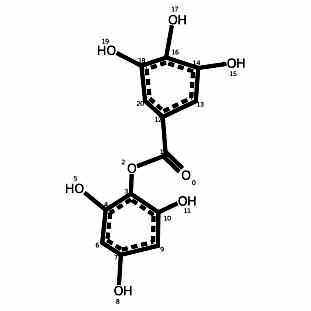 O=C(Oc1c(O)cc(O)cc1O)c1cc(O)c(O)c(O)c1